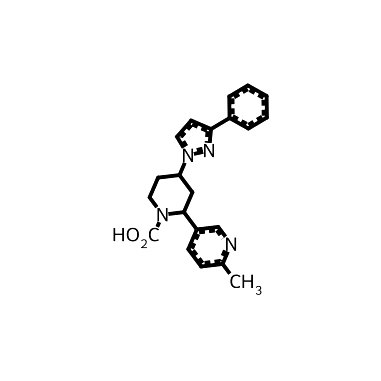 Cc1ccc(C2CC(n3ccc(-c4ccccc4)n3)CCN2C(=O)O)cn1